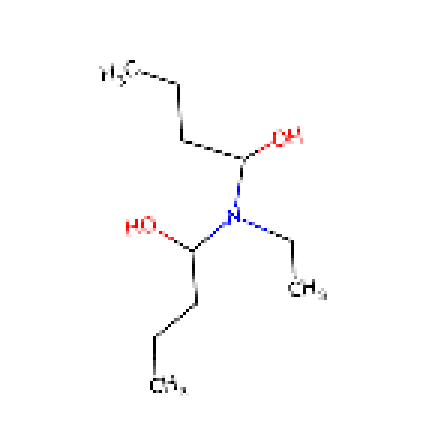 CCCC(O)N(CC)C(O)CCC